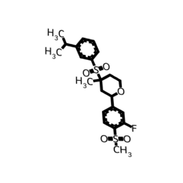 CC(C)c1cccc(S(=O)(=O)C2(C)CCOC(c3ccc(S(C)(=O)=O)c(F)c3)C2)c1